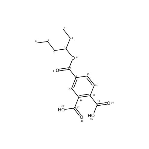 CCCC(CC)OC(=O)c1ccc(C(=O)O)c(C(=O)O)c1